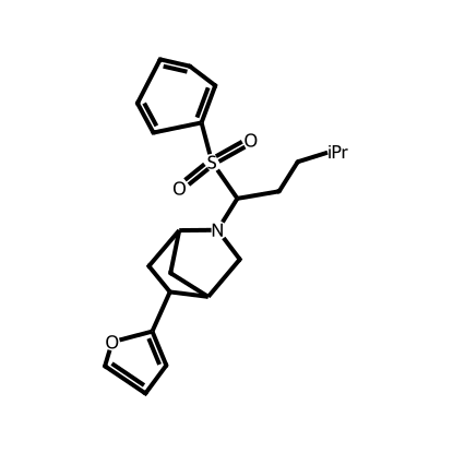 CC(C)CCC(N1CC2CC1CC2c1ccco1)S(=O)(=O)c1ccccc1